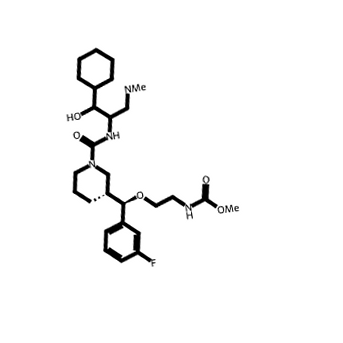 CNCC(NC(=O)N1CCC[C@@H]([C@@H](OCCNC(=O)OC)c2cccc(F)c2)C1)C(O)C1CCCCC1